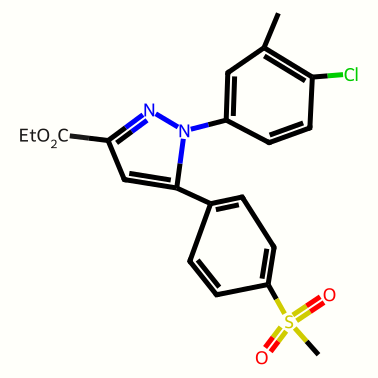 CCOC(=O)c1cc(-c2ccc(S(C)(=O)=O)cc2)n(-c2ccc(Cl)c(C)c2)n1